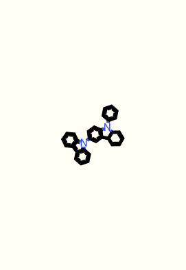 C1=CC2c3cc(-n4c5ccccc5c5ccccc54)ccc3N(c3ccccc3)C2C=C1